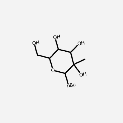 CCCCC1OC(CO)C(O)C(O)C1(C)O